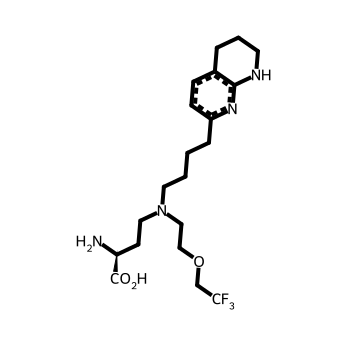 N[C@@H](CCN(CCCCc1ccc2c(n1)NCCC2)CCOCC(F)(F)F)C(=O)O